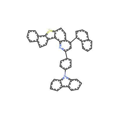 c1ccc2c(-c3cc(-c4ccc(-n5c6ccccc6c6ccccc65)cc4)nc4c3ccc3sc5c6ccccc6ccc5c34)cccc2c1